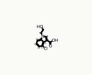 O=C(O)c1cn(CCO)c2cccc(Cl)c12